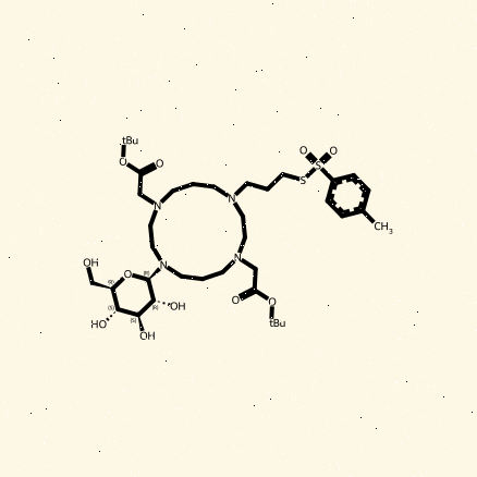 Cc1ccc(S(=O)(=O)SCCCN2CCCN(CC(=O)OC(C)(C)C)CCN([C@@H]3O[C@H](CO)[C@@H](O)[C@H](O)[C@H]3O)CCCN(CC(=O)OC(C)(C)C)CC2)cc1